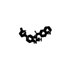 Cc1ccc(N2C=CC3=NNN([C@H](C)c4ccc5ncccc5c4)C3=C2)s1